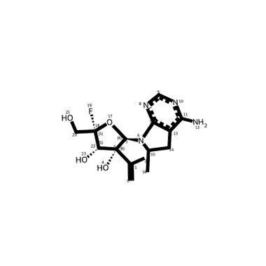 C=C(C)[C@]1(O)[C@H](N2c3ncnc(N)c3CC2C)O[C@](F)(CO)[C@H]1O